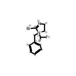 FC(F)[N+]1(Cc2ccccc2)CCN=C1Br